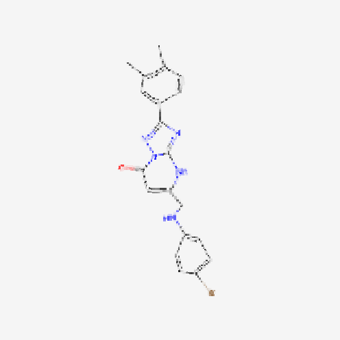 Cc1ccc(-c2nc3[nH]c(CNc4ccc(Br)cc4)cc(=O)n3n2)cc1C